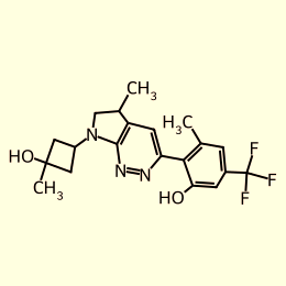 Cc1cc(C(F)(F)F)cc(O)c1-c1cc2c(nn1)N(C1CC(C)(O)C1)CC2C